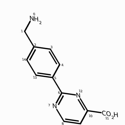 NCc1ccc(-c2nccc(C(=O)O)n2)cc1